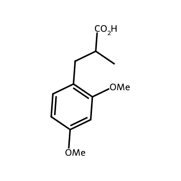 COc1ccc(CC(C)C(=O)O)c(OC)c1